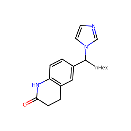 CCCCCCC(c1ccc2c(c1)CCC(=O)N2)n1ccnc1